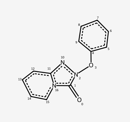 O=c1n(Oc2ccccc2)nc2ccccn12